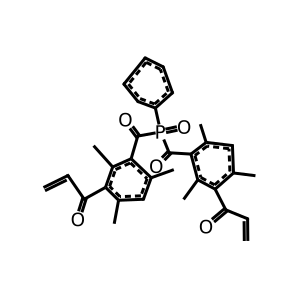 C=CC(=O)c1c(C)cc(C)c(C(=O)P(=O)(C(=O)c2c(C)cc(C)c(C(=O)C=C)c2C)c2ccccc2)c1C